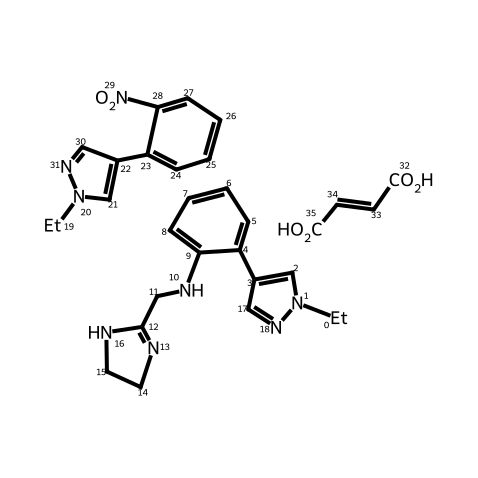 CCn1cc(-c2ccccc2NCC2=NCCN2)cn1.CCn1cc(-c2ccccc2[N+](=O)[O-])cn1.O=C(O)C=CC(=O)O